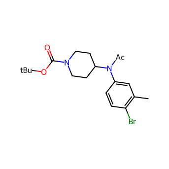 CC(=O)N(c1ccc(Br)c(C)c1)C1CCN(C(=O)OC(C)(C)C)CC1